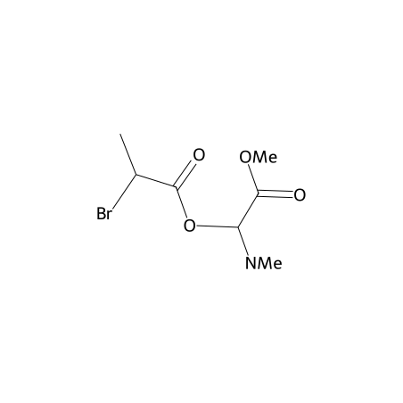 CNC(OC(=O)C(C)Br)C(=O)OC